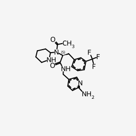 CC(=O)N(C1CCCCN1)[C@@H](Cc1cccc(C(F)(F)F)c1)C(=O)NCc1ccc(N)nc1